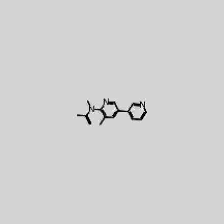 C=C(C)N(C)c1ncc(-c2cccnc2)cc1C